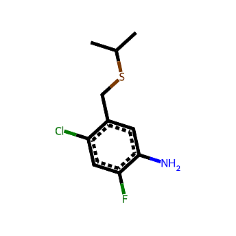 CC(C)SCc1cc(N)c(F)cc1Cl